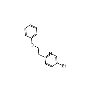 CCc1ccc(CCOc2cc[c]cc2)nc1